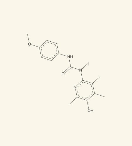 COc1ccc(NC(=O)N(I)c2nc(C)c(O)c(C)c2C)cc1